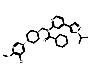 COc1ncc([C@H]2CC[C@H](CN(C(=O)C3CCCCC3)c3cc(-c4cnn(C(C)C)c4)ccn3)CC2)cc1Cl